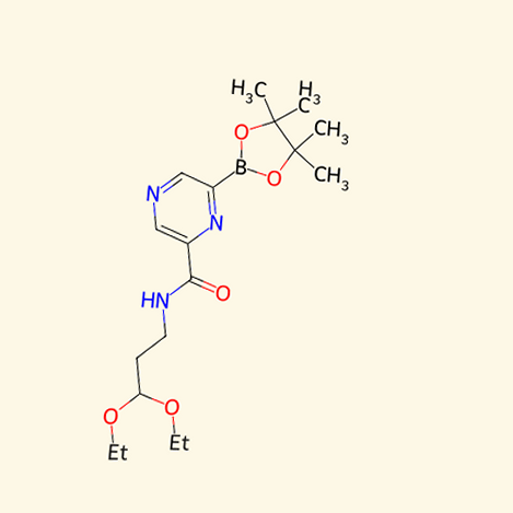 CCOC(CCNC(=O)c1cncc(B2OC(C)(C)C(C)(C)O2)n1)OCC